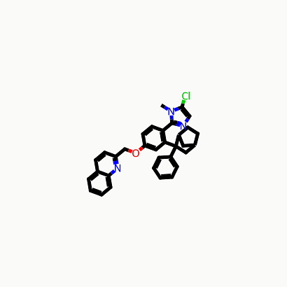 Cn1c(Cl)cnc1-c1ccc(OCc2ccc3ccccc3n2)cc1C1(c2ccccc2)CC2CCC1C2